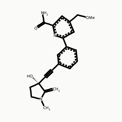 C=C1N(C)CC[C@@]1(O)C#Cc1cccc(-c2cc(COC)cc(C(N)=O)n2)c1